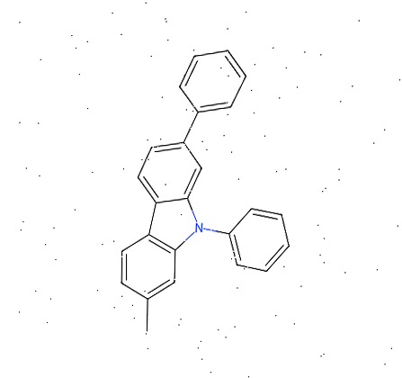 Cc1ccc2c3ccc(-c4ccccc4)cc3n(-c3ccccc3)c2c1